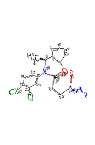 C[C@@H](c1ccccc1)N(C(=O)/C=C\C(N)=O)c1ccc(Cl)c(Cl)c1